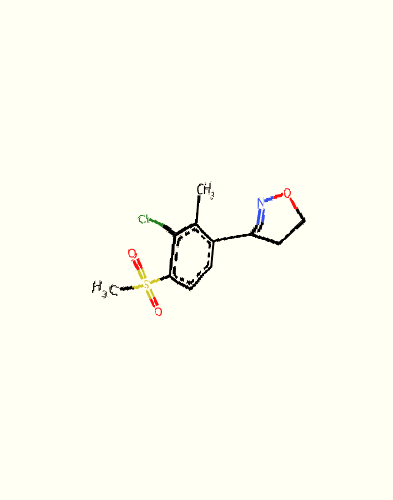 Cc1c(C2=NOCC2)ccc(S(C)(=O)=O)c1Cl